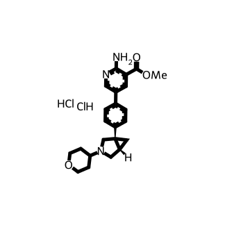 COC(=O)c1cc(-c2ccc([C@@]34C[C@@H]3CN(C3CCOCC3)C4)cc2)cnc1N.Cl.Cl